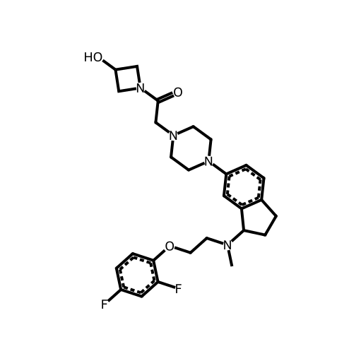 CN(CCOc1ccc(F)cc1F)C1CCc2ccc(N3CCN(CC(=O)N4CC(O)C4)CC3)cc21